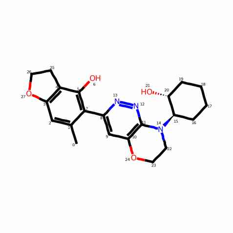 Cc1cc2c(c(O)c1-c1cc3c(nn1)N([C@@H]1CCCC[C@H]1O)CCO3)CCO2